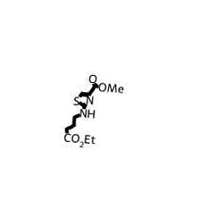 CCOC(=O)CCCNc1nc(C(=O)OC)cs1